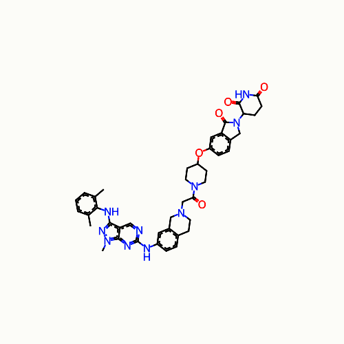 Cc1cccc(C)c1Nc1nn(C)c2nc(Nc3ccc4c(c3)CN(CC(=O)N3CCC(Oc5ccc6c(c5)C(=O)N(C5CCC(=O)NC5=O)C6)CC3)CC4)ncc12